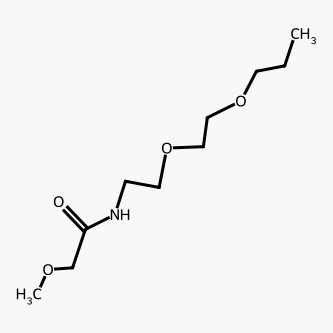 CCCOCCOCCNC(=O)COC